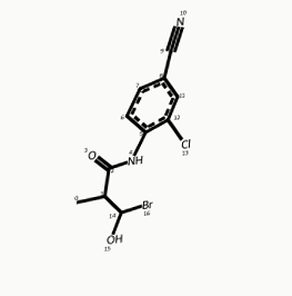 CC(C(=O)Nc1ccc(C#N)cc1Cl)C(O)Br